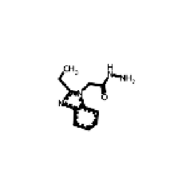 CCc1nc2ccccc2n1CC(=O)NN